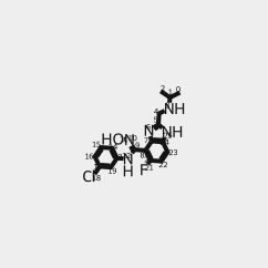 CC(C)NCc1nc2c(C(=NO)Nc3cccc(Cl)c3)c(F)ccc2[nH]1